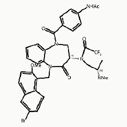 CN[C@@H](C)CN(C(=O)C(F)(F)F)[C@H]1CN(C(=O)c2ccc(NC(C)=O)cc2)c2ccccc2N(Cc2c(OC)ccc3cc(Br)ccc23)C1=O